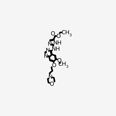 CCOC(=O)c1cnc(Nc2ncnc3cc(OCCCN4CCOCC4)c(OC)cc23)[nH]1